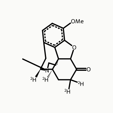 [2H]C1([2H])C[C@]2([2H])[C@@]34CCN(C)[C@]2([2H])Cc2ccc(OC)c(c23)OC4C1=O